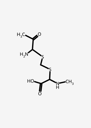 CNC(SCSC(N)C(C)=O)C(=O)O